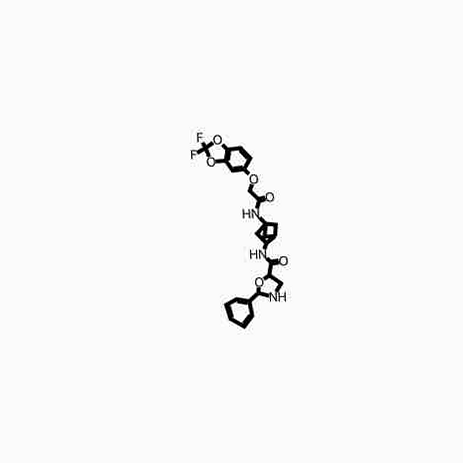 O=C(COc1ccc2c(c1)OC(F)(F)O2)NC12CC(C1)C(NC(=O)C1CNC(c3ccccc3)O1)C2